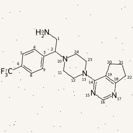 NCC(c1ccc(C(F)(F)F)cc1)N1CCN(c2ncnc3c2CCC3)CC1